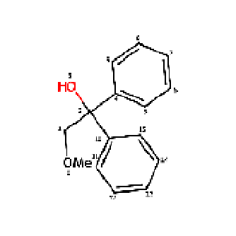 COCC(O)(c1ccccc1)c1ccccc1